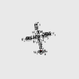 CCCCn1cc[n+](C)c1C.C[Si](C)(CCC(F)(F)C(F)(F)C(F)(F)C(F)(F)C(F)(F)C(F)(F)F)c1ccc([B-](c2ccc([Si](C)(C)CCC(F)(F)C(F)(F)C(F)(F)C(F)(F)C(F)(F)C(F)(F)F)cc2)(c2ccc([Si](C)(C)CCC(F)(F)C(F)(F)C(F)(F)C(F)(F)C(F)(F)C(F)(F)F)cc2)c2ccc([Si](C)(C)CCC(F)(F)C(F)(F)C(F)(F)C(F)(F)C(F)(F)C(F)(F)F)cc2)cc1